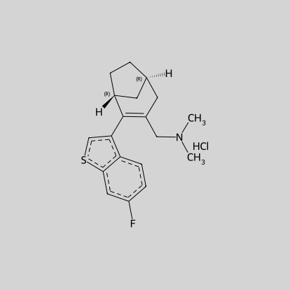 CN(C)CC1=C(c2csc3cc(F)ccc23)[C@@H]2CC[C@@H](C1)C2.Cl